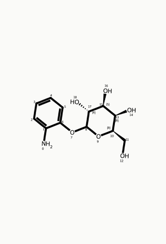 Nc1ccccc1OC1O[C@H](CO)[C@H](O)[C@H](O)[C@H]1O